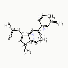 C=N/C=C(\C=C/C)C(=C)/C=c1/c(CC(=O)O)cn(C)/c1=C/C